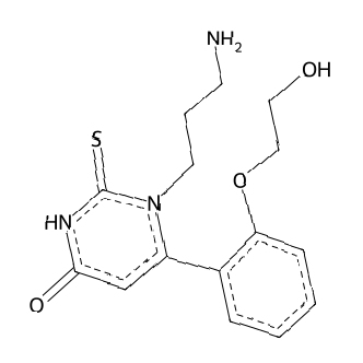 NCCCn1c(-c2ccccc2OCCO)cc(=O)[nH]c1=S